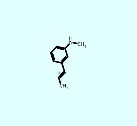 C/C=C/c1cccc(NC)c1